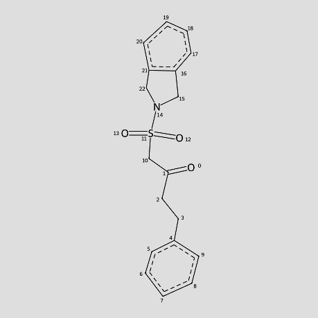 O=C(CCc1ccccc1)CS(=O)(=O)N1Cc2ccccc2C1